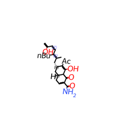 C=C(O)/C=C\C(CCCC)=C(/C)C[C@H]1C[C@H]2CC=C(C(N)=O)C(=O)C2C(O)=C1C(C)=O